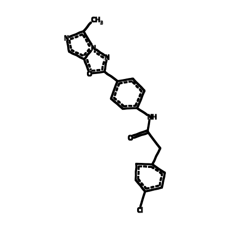 Cc1ncc2oc(-c3ccc(NC(=O)Cc4ccc(Cl)cc4)cc3)nn12